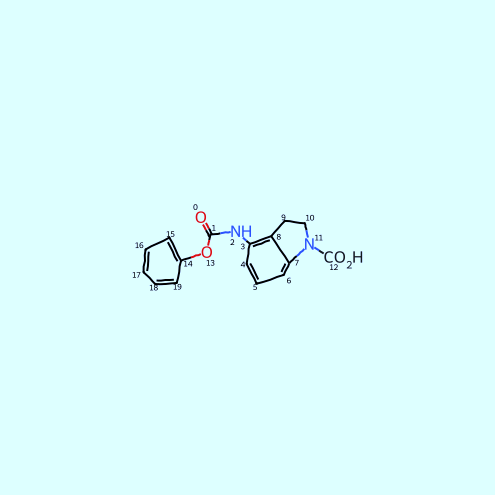 O=C(Nc1cccc2c1CCN2C(=O)O)Oc1ccccc1